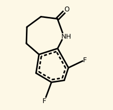 O=C1CCCc2cc(F)cc(F)c2N1